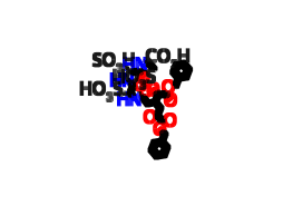 O=C(CC(CC(=O)C(=O)OCc1ccccc1)C(=O)C(=O)OCc1ccccc1)N[C@H](CS(=O)(=O)O)C(=O)N[C@H](CS(=O)(=O)O)C(=O)N[C@H](CS(=O)(=O)O)C(=O)O